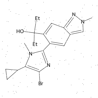 CCC(O)(CC)c1cc2nn(C)cc2cc1-c1nc(Br)c(C2CC2)n1C